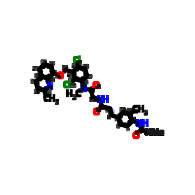 CNC(=O)Nc1ccc(/C=C/C(=O)NCC(=O)N(C)c2ccc(Cl)c(COc3cccc4ccc(C)nc34)c2Cl)cc1C